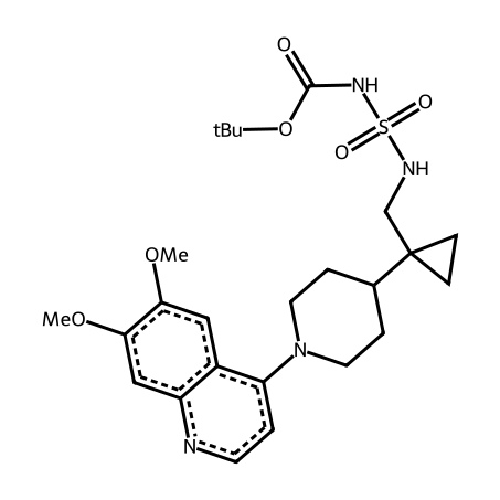 COc1cc2nccc(N3CCC(C4(CNS(=O)(=O)NC(=O)OC(C)(C)C)CC4)CC3)c2cc1OC